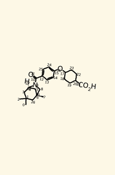 CC1(C)C[C@@H]2C[C@](C)(CN2C(=O)c2ccc(OC3CCC(C(=O)O)CC3)cc2)C1